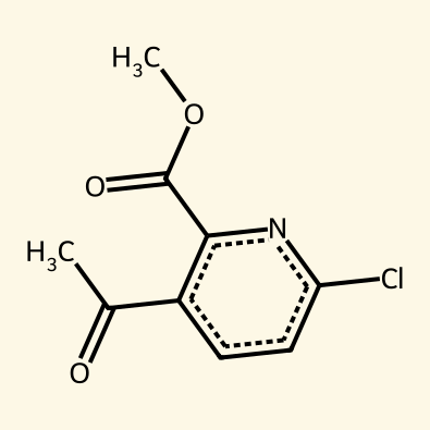 COC(=O)c1nc(Cl)ccc1C(C)=O